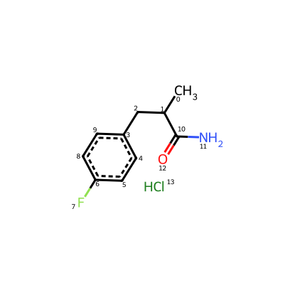 CC(Cc1ccc(F)cc1)C(N)=O.Cl